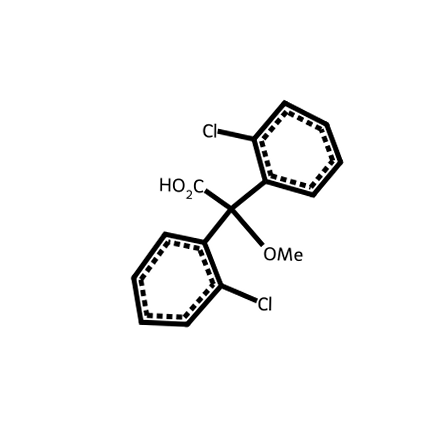 COC(C(=O)O)(c1ccccc1Cl)c1ccccc1Cl